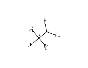 FC(F)C(F)(Cl)Br